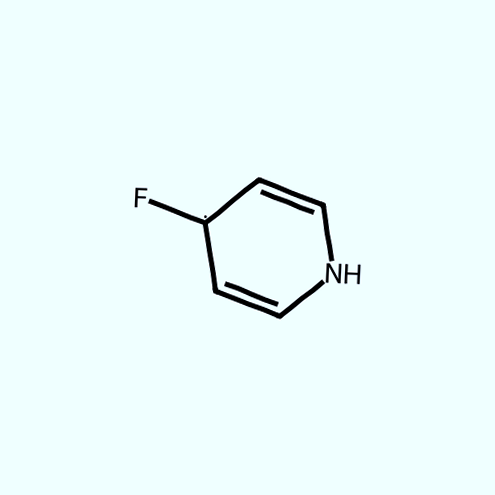 F[C]1C=CNC=C1